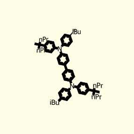 CCCC(C)(CCC)c1ccc(N(c2ccc(-c3ccc(N(c4ccc([C@H](C)CC)cc4)c4ccc(C(C)(CCC)CCC)cc4)cc3)cc2)c2ccc(C(C)CC)cc2)cc1